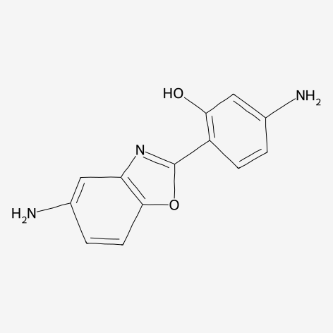 Nc1ccc(-c2nc3cc(N)ccc3o2)c(O)c1